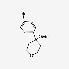 COC1(c2ccc(Br)cc2)CCOCC1